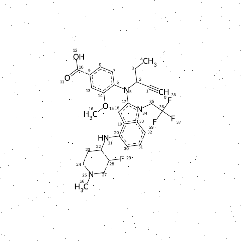 C#CC(CC)N(c1ccc(C(=O)O)cc1OC)c1cc2c(NC3CCN(C)CC3F)cccc2n1CC(F)(F)F